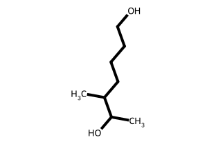 CC(O)C(C)CCCCO